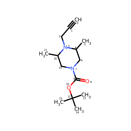 C#CCN1C(C)CN(C(=O)OC(C)(C)C)CC1C